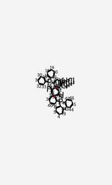 Cl.Cl.Cl.Cl.c1ccc([PH](Cc2ccc(C[PH](c3ccccc3)(c3ccccc3)c3ccccc3)cc2)(c2ccccc2)c2ccccc2)cc1